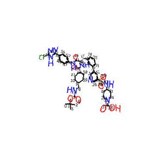 CC(C)(C)OC(=O)NC[C@H]1CC[C@H](C(=O)N[C@@H](Cc2cccc(-c3cncc(S(=O)(=O)NC4CCN(C(=O)O)CC4)c3)c2)C(=O)Nc2ccc(-c3nnc(Cl)[nH]3)cc2)CC1